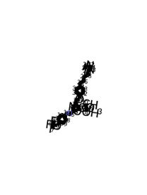 CS(=O)(=O)O.FC(F)(F)Oc1ccc(/C=C/c2nc(COc3ccc(CCCCn4ccnn4)cc3)co2)cc1